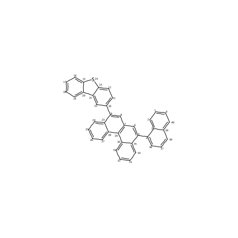 c1ccc2c(-c3cc4cc(-c5ccc6sc7ccccc7c6c5)c5ccccc5c4c4ccccc34)cccc2c1